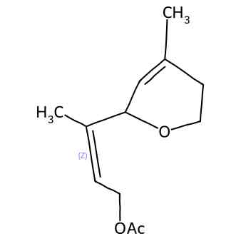 CC(=O)OC/C=C(/C)C1C=C(C)CCO1